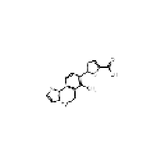 CCc1c(-c2cccs2)ccc(-c2ccc(C(=O)O)s2)c1C